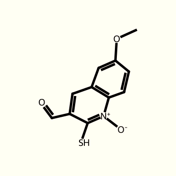 COc1ccc2c(c1)cc(C=O)c(S)[n+]2[O-]